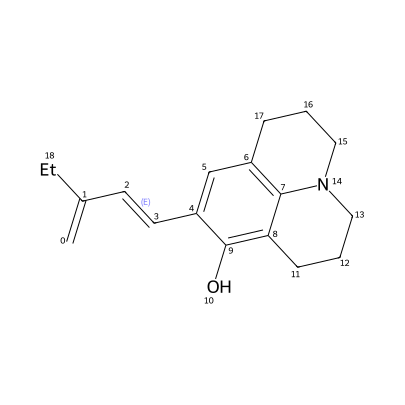 C=C(/C=C/c1cc2c3c(c1O)CCCN3CCC2)CC